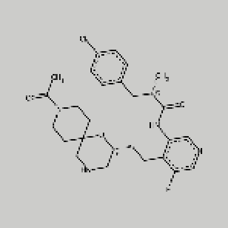 CC(=O)N1CCC2(CC1)CNC[C@@H](CCc1c(F)cncc1NC(=O)[C@@H](C)Cc1ccc(Cl)cc1)O2